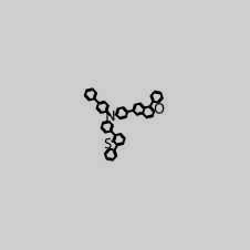 c1ccc(-c2ccc(N(c3ccc(-c4ccc5c(ccc6oc7ccccc7c65)c4)cc3)c3cccc(-c4cccc5c4sc4ccccc45)c3)cc2)cc1